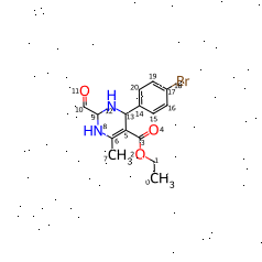 CCOC(=O)C1=C(C)NC(C=O)NC1c1ccc(Br)cc1